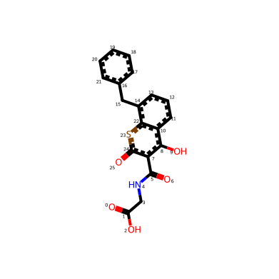 O=C(O)CNC(=O)c1c(O)c2cccc(Cc3ccccc3)c2sc1=O